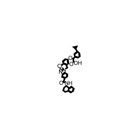 O=C(NC1CCCc2ccccc21)c1ccc2c(c1)nnn2Cc1cc(OC(C(=O)O)c2cccc(C3CC3)c2)ccc1Cl